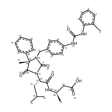 Cc1ccccc1NC(=O)Nc1ccc(CN2C(=O)N([C@@H](CC(C)C)C(=O)N[C@H](C)CC(=O)O)C(=O)[C@]2(C)c2ccccc2)cc1